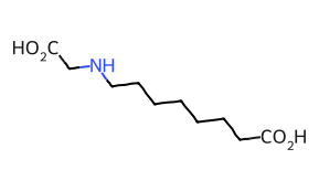 O=C(O)CCCCCCCNCC(=O)O